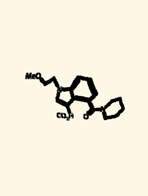 COCCn1cc(C(=O)O)c2c(C(=O)N3CCCCC3)cccc21